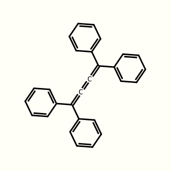 C(=C=C(c1ccccc1)c1ccccc1)=C(c1ccccc1)c1ccccc1